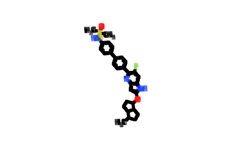 CC1CCC2C(Oc3cc4nc(-c5ccc(-c6ccc(N[SH](C)(C)=O)cc6)cc5)c(F)cc4[nH]3)CCC12